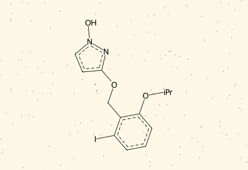 CC(C)Oc1cccc(I)c1COc1ccn(O)n1